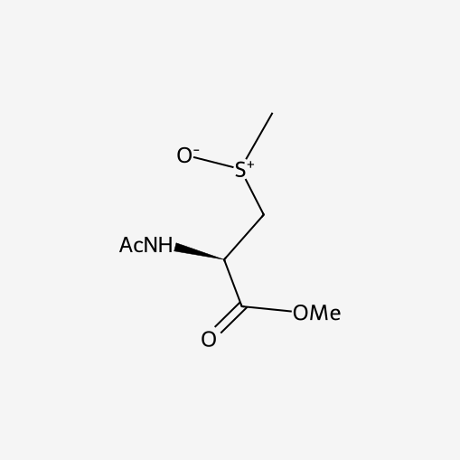 COC(=O)[C@H](C[S+](C)[O-])NC(C)=O